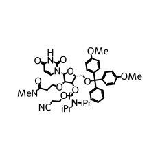 CNC(=O)CCO[C@@H]1[C@H](OP(OCCC#N)N(C(C)C)C(C)C)[C@@H](COC(c2ccccc2)(c2ccc(OC)cc2)c2ccc(OC)cc2)O[C@H]1n1ccc(=O)[nH]c1=O